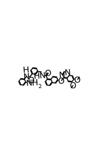 COc1cc2ncnc(Oc3ccc4c(C(=O)NCc5cccc(C(=O)Nc6ccccc6N)c5)cccc4c3)c2cc1OC